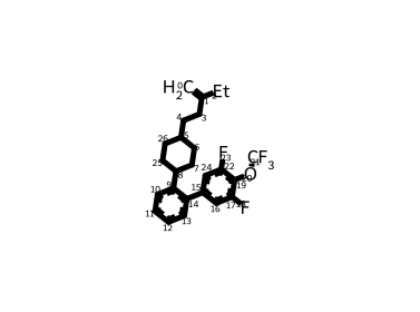 C=C(CC)CCC1CCC(c2ccccc2-c2cc(F)c(OC(F)(F)F)c(F)c2)CC1